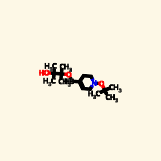 CC(C)(C)ON1CC=C(BOC(C)(C)C(C)(C)O)CC1